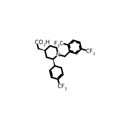 O=C(O)C[C@H]1CCN(Cc2cc(C(F)(F)F)ccc2C(F)(F)F)[C@@H](C2C=CC(C(F)(F)F)=CC2)C1